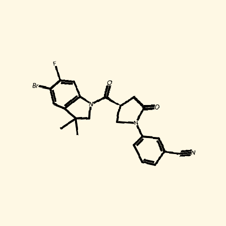 CC1(C)CN(C(=O)[C@H]2CC(=O)N(c3cccc(C#N)c3)C2)c2cc(F)c(Br)cc21